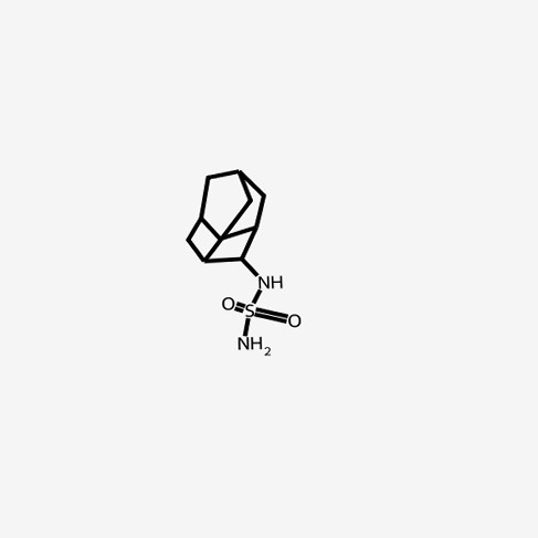 NS(=O)(=O)NC1C2CC3CC(C2)CC1C3